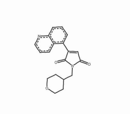 O=C1C=C(c2cccc3ncccc23)C(=O)N1CC1CCOCC1